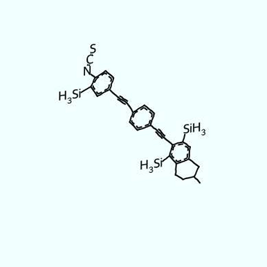 CC1CCc2c(cc([SiH3])c(C#Cc3ccc(C#Cc4ccc(N=C=S)c([SiH3])c4)cc3)c2[SiH3])C1